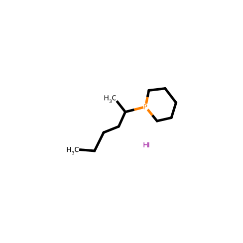 CCCCC(C)P1CCCCC1.I